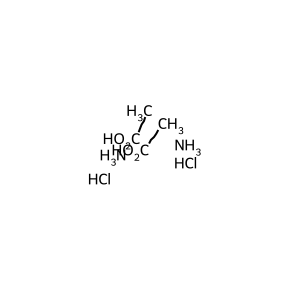 CC(=O)O.CC(=O)O.Cl.Cl.N.N